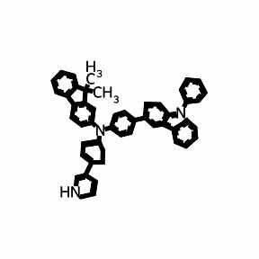 CC1(C)c2ccccc2-c2ccc(N(C3=CC=C(C4=CNCC=C4)CC3)c3ccc(-c4ccc5c(c4)c4ccccc4n5-c4ccccc4)cc3)cc21